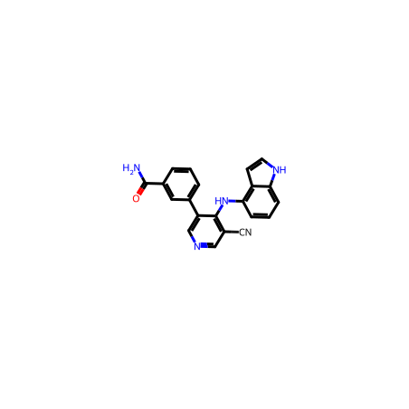 N#Cc1cncc(-c2cccc(C(N)=O)c2)c1Nc1cccc2[nH]ccc12